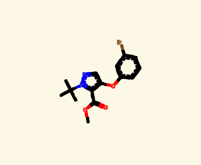 COC(=O)c1c(Oc2cccc(Br)c2)cnn1C(C)(C)C